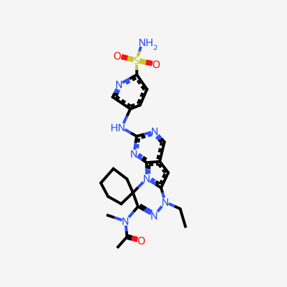 CCN1N=C(N(C)C(C)=O)C2(CCCCC2)n2c1cc1cnc(Nc3ccc(S(N)(=O)=O)nc3)nc12